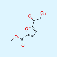 COC(=O)c1ccc(C(=O)CO)o1